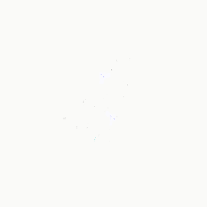 CC1(C)N=C(c2cnc3ccccc3c2)c2ccccc2[C@@H]1F